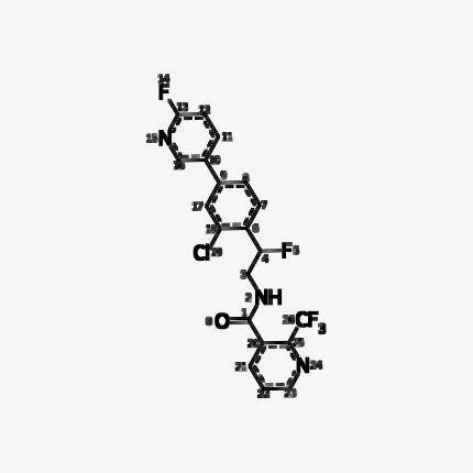 O=C(NCC(F)c1ccc(-c2ccc(F)nc2)cc1Cl)c1cccnc1C(F)(F)F